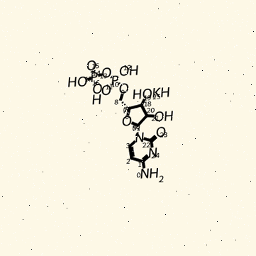 Nc1ccn([C@@H]2O[C@H](COP(=O)(O)OP(=O)(O)O)C(O)C2O)c(=O)n1.[KH]